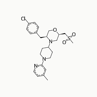 Cc1ccnc(N2CCC(N3C[C@H](CS(C)(=O)=O)OC[C@@H]3Cc3ccc(Cl)cc3)CC2)c1